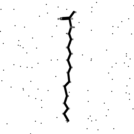 CCCCCCCCCCCCC[CH]OC(C)=O